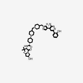 C[C@@H]1C[C@@H](O)CN1C(=O)[C@@H](NC(=O)[C@H]1CC[C@H](N2CCC(CN3CCC(Cn4cc(-c5cc(-c6ccccc6O)nnc5N)cn4)CC3)CC2)CC1)C(C)(C)C